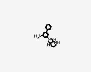 Nc1cc(-c2ccccc2)cc(N2C[C@H]3CCCN[C@H]3C2)c1